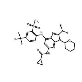 CS(=O)(=O)c1cc(C(F)(F)F)ccc1Nc1cc(NC(=O)C2CC2)nc2c1nc(C(F)F)n2C1CCCCO1